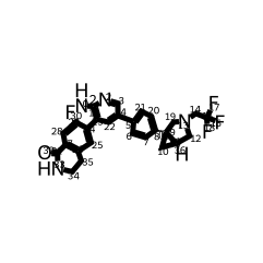 Nc1ncc(-c2ccc([C@@]34C[C@@H]3CN(CC(F)(F)F)C4)cc2)cc1-c1cc2c(cc1F)C(=O)NCC2